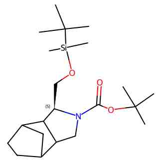 CC(C)(C)OC(=O)N1CC2C3CCC(C3)C2[C@H]1CO[Si](C)(C)C(C)(C)C